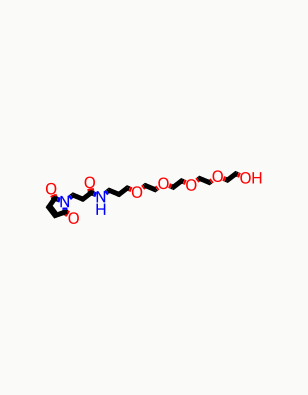 O=C(CCN1C(=O)C=CC1=O)NCCCOCCOCCOCCOCCO